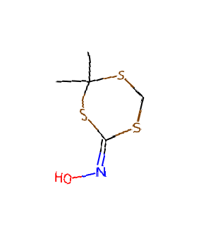 CC1(C)SCSC(=NO)S1